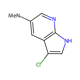 CNc1cnc2[nH]cc(Cl)c2c1